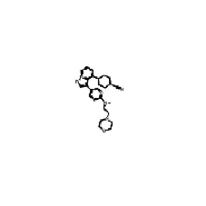 N#CC1CCC(c2cccn3ncc(-c4ccc(NCCN5CCOCC5)nc4)c23)CC1